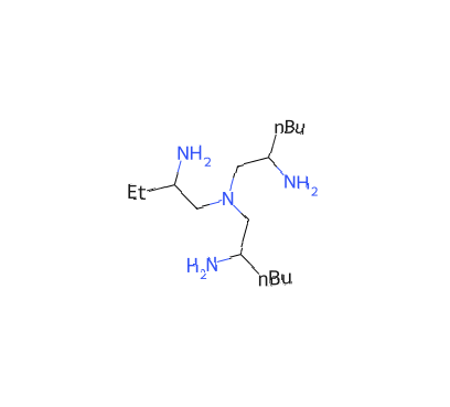 CCCCC(N)CN(CC(N)CC)CC(N)CCCC